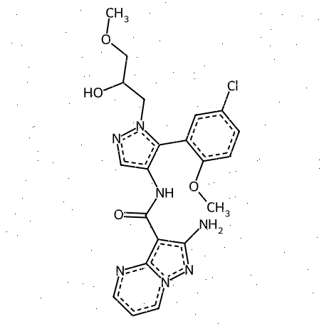 COCC(O)Cn1ncc(NC(=O)c2c(N)nn3cccnc23)c1-c1cc(Cl)ccc1OC